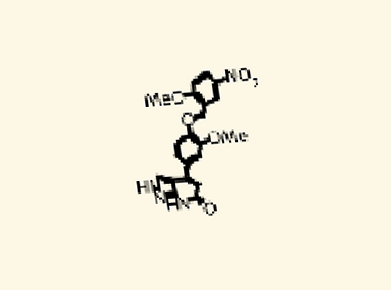 COc1ccc([N+](=O)[O-])cc1COc1ccc(C2CC(=O)Nc3n[nH]cc32)cc1OC